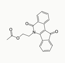 CC(=O)OCCn1c2c(c3ccccc3c1=O)C(=O)c1ccccc1-2